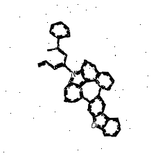 C=C/C=C(\C=C(/C)c1ccccc1)n1c2cccc3c2c2c4c(cccc4ccc21)-c1cc2c(cc1-3)oc1ccccc12